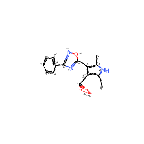 Cc1[nH]c(C)c(-c2nc(-c3ccccc3)no2)c1C=O